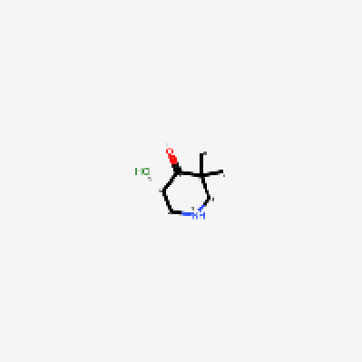 CC1(C)CNCCC1=O.Cl